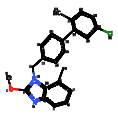 CCOc1nc2cccc(C)c2n1Cc1ccc(-c2cc(Cl)ccc2C#N)cc1